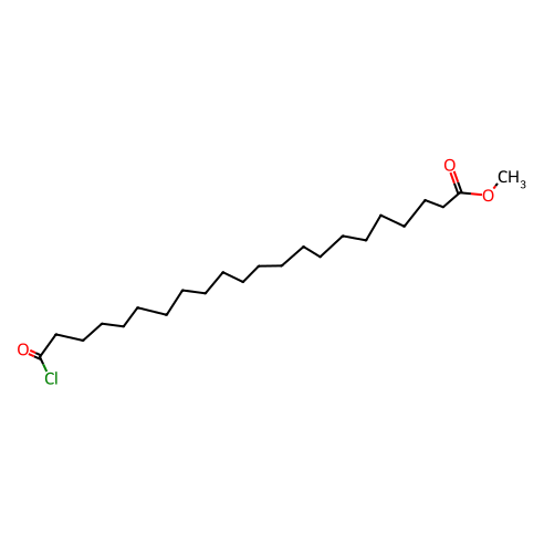 COC(=O)CCCCCCCCCCCCCCCCCCCCC(=O)Cl